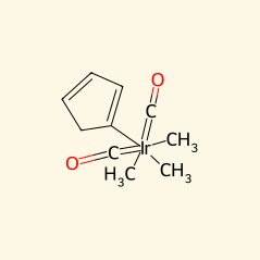 [CH3][Ir]([CH3])([CH3])(=[C]=O)(=[C]=O)[C]1=CC=CC1